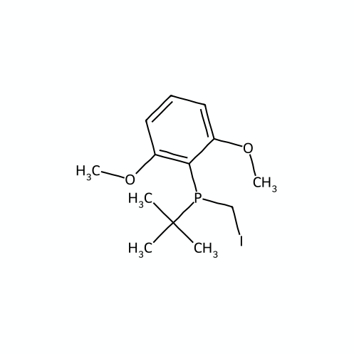 COc1cccc(OC)c1P(CI)C(C)(C)C